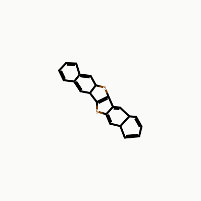 C1=CC2C=c3sc4c(c3=CC2C=C1)SC1C=c2ccccc2=CC41